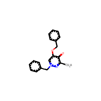 O=C(O)c1nn(Cc2ccccc2)cc(OCc2ccccc2)c1=O